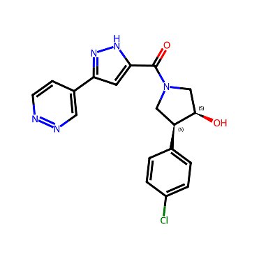 O=C(c1cc(-c2ccnnc2)n[nH]1)N1C[C@@H](O)[C@@H](c2ccc(Cl)cc2)C1